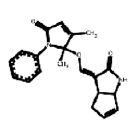 CC1=CC(=O)N(c2ccccc2)C1(C)OC=C1C(=O)NC2C=CCC12